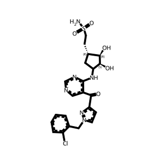 NS(=O)(=O)CC[C@H]1CC(Nc2ncncc2C(=O)c2ccn(Cc3ccccc3Cl)n2)[C@H](O)[C@@H]1O